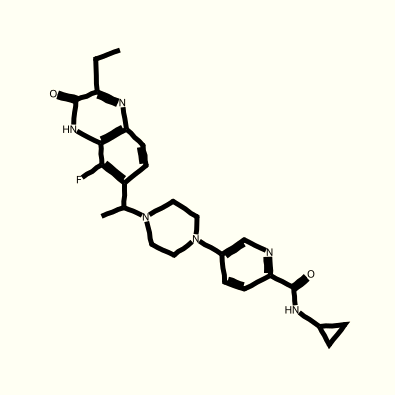 CCc1nc2ccc(C(C)N3CCN(c4ccc(C(=O)NC5CC5)nc4)CC3)c(F)c2[nH]c1=O